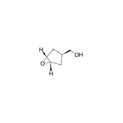 OC[C@H]1C[C@@H]2O[C@@H]2C1